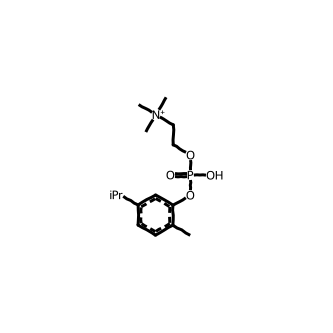 Cc1ccc(C(C)C)cc1OP(=O)(O)OCC[N+](C)(C)C